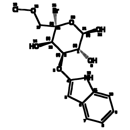 O[C@@H]1[C@@H](Oc2cc3ccccc3[nH]2)[C@@H](O)[C@@](Br)(COCl)O[C@H]1O